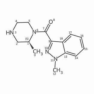 C[C@H]1CNCCN1C(=O)c1nn(C)c2ccccc12